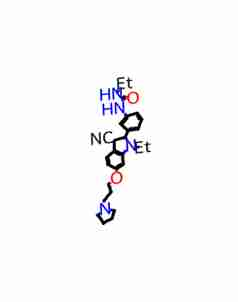 CCNC(=O)Nc1cccc(C2C(C#N)c3ccc(OCCCN4CCCC4)cc3N2CC)c1